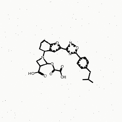 CC(C)Cc1ccc(-c2nc(-c3cc4c(o3)CCCC4N3CC(C(=O)O)C3OC(=O)C(=O)O)no2)cc1